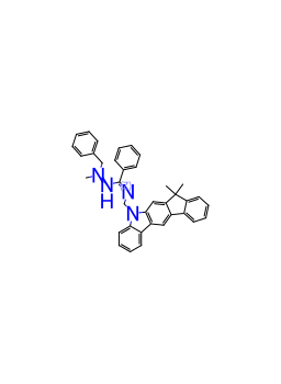 CN(Cc1ccccc1)N/C(=N\Cn1c2ccccc2c2cc3c(cc21)C(C)(C)c1ccccc1-3)c1ccccc1